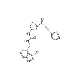 O=C(NCc1ccnc2[nH]cc(Cl)c12)NC1CCN(C(=O)C#Cc2ccccc2)C1